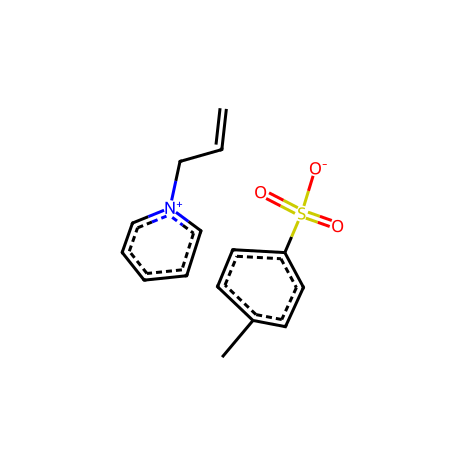 C=CC[n+]1ccccc1.Cc1ccc(S(=O)(=O)[O-])cc1